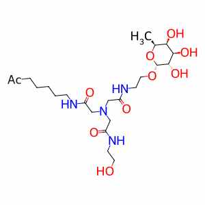 CC(=O)CCCCCNC(=O)CN(CC(=O)NCCO)CC(=O)NCCO[C@@H]1O[C@@H](C)[C@@H](O)[C@@H](O)[C@@H]1O